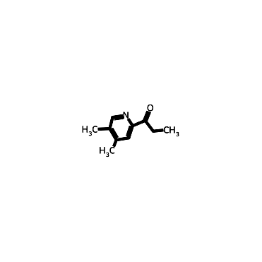 CCC(=O)c1cc(C)c(C)cn1